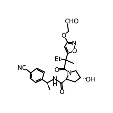 CCC(C)(C(=O)N1C[C@H](O)C[C@H]1C(=O)N[C@@H](C)c1ccc(C#N)cc1)c1cc(OCC=O)no1